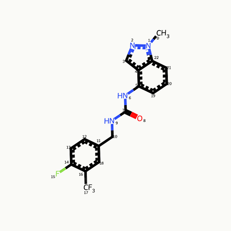 Cn1ncc2c(NC(=O)NCc3ccc(F)c(C(F)(F)F)c3)cccc21